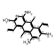 C=Cc1c(N)nc(N)c2c(C)c3c(C=C)c(N)nc(N)c3c(C)c12